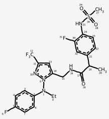 CCN(c1ccc(F)cc1)n1nc(C(F)(F)F)cc1CNC(=O)C(C)c1ccc(NS(C)(=O)=O)c(F)c1